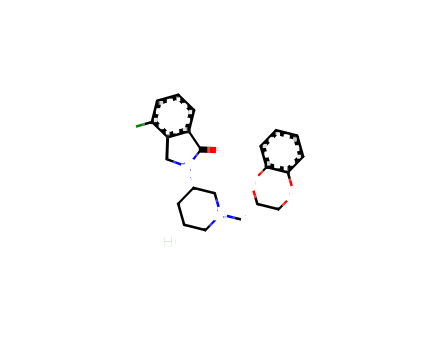 Cl.O=C1c2cccc(F)c2CN1[C@H]1CCCN(C[C@H]2COc3ccccc3O2)C1